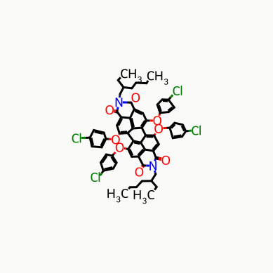 CCCCC(CC)CN1C(=O)c2cc(Oc3ccc(Cl)cc3)c3c4c(Oc5ccc(Cl)cc5)cc5c6c(cc(Oc7ccc(Cl)cc7)c(c7c(Oc8ccc(Cl)cc8)cc(c2c37)C1=O)c64)C(=O)N(CC(CC)CCCC)C5=O